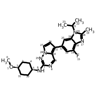 CO[C@H]1CC[C@@H](Nc2ncc3c(-c4cc(F)c5nc(C)n(C(C)C)c5c4)ccn3n2)CC1